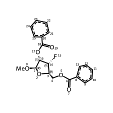 CO[C@@H]1O[C@H](COC(=O)c2ccccc2)[C@@H](F)[C@H]1OC(=O)c1ccccc1